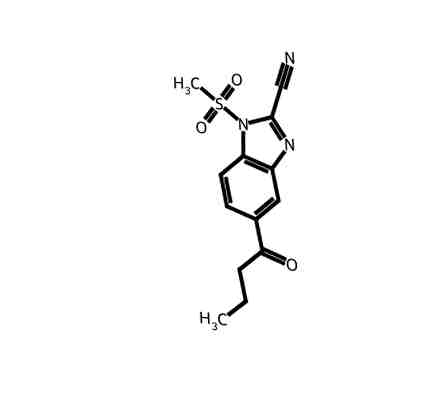 CCCC(=O)c1ccc2c(c1)nc(C#N)n2S(C)(=O)=O